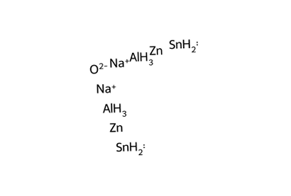 [AlH3].[AlH3].[Na+].[Na+].[O-2].[SnH2].[SnH2].[Zn].[Zn]